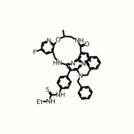 CCNC(=S)Nc1ccc(-c2c3nc4c(cnn4c2N(Cc2ccccc2)Cc2ccccc2)C(=O)NCC(C)Oc2ncc(F)cc2CN3)cc1